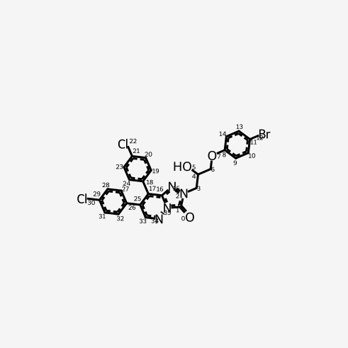 O=c1n(CC(O)COc2ccc(Br)cc2)nc2c(-c3ccc(Cl)cc3)c(-c3ccc(Cl)cc3)cnn12